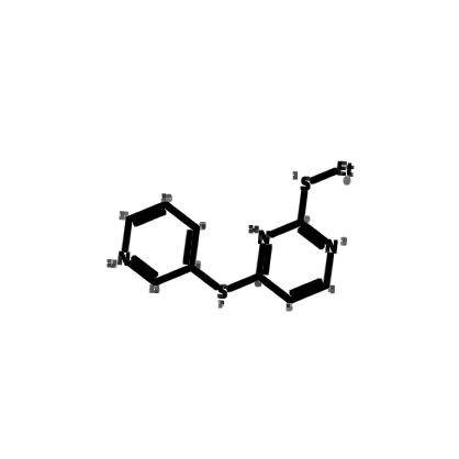 CCSc1nccc(Sc2cccnc2)n1